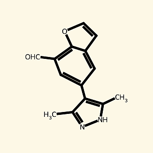 Cc1n[nH]c(C)c1-c1cc(C=O)c2occc2c1